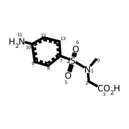 CN(CC(=O)O)S(=O)(=O)c1ccc(N)cc1